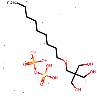 CCCCCCCCCCCCCCCCCCOCC(CO)(CO)CO.O=P(O)(O)OP(=O)(O)O